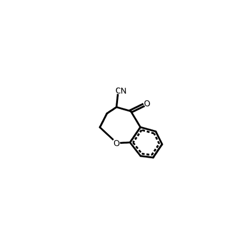 N#CC1CCOc2ccccc2C1=O